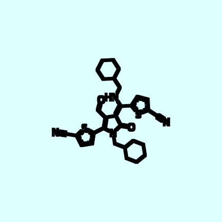 N#Cc1ccc(C2=C(C=O)/C(=C(\NCC3CCCCC3)c3ccc(C#N)s3)C(=O)N2CC2CCCCC2)s1